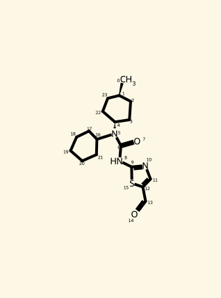 C[C@H]1CC[C@H](N(C(=O)Nc2ncc(C=O)s2)C2CCCCC2)CC1